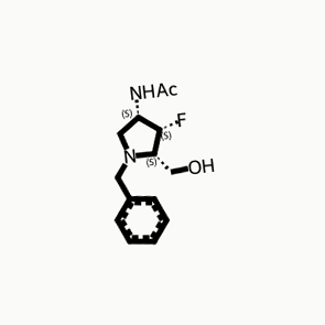 CC(=O)N[C@H]1CN(Cc2ccccc2)[C@@H](CO)[C@H]1F